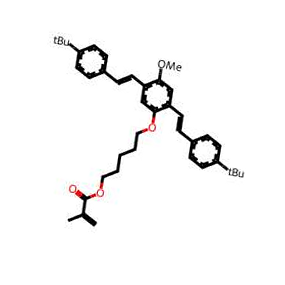 C=C(C)C(=O)OCCCCCOc1cc(/C=C/c2ccc(C(C)(C)C)cc2)c(OC)cc1/C=C/c1ccc(C(C)(C)C)cc1